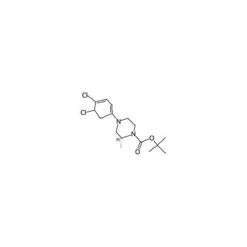 C[C@@H]1CN(C2=CC=C(Cl)C(Cl)C2)CCN1C(=O)OC(C)(C)C